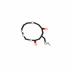 CCC1CC(=O)CCCCCCCCCCC(=O)C1